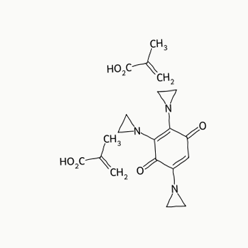 C=C(C)C(=O)O.C=C(C)C(=O)O.O=C1C=C(N2CC2)C(=O)C(N2CC2)=C1N1CC1